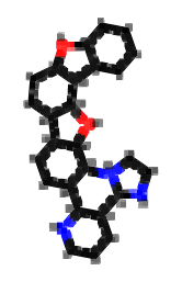 c1ccc2c(c1)oc1ccc3c4ccc5c6ncccc6c6nccn6c5c4oc3c12